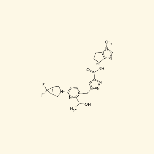 CC(O)c1nc(N2CC3C(C2)C3(F)F)ccc1Cn1cc(C(=O)N[C@@H]2CCc3c2ncn3C)nn1